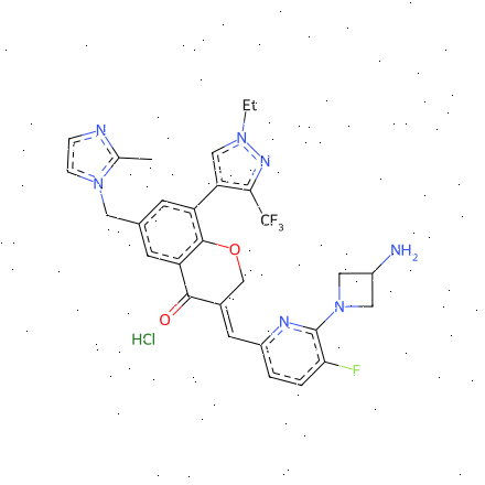 CCn1cc(-c2cc(Cn3ccnc3C)cc3c2OC/C(=C\c2ccc(F)c(N4CC(N)C4)n2)C3=O)c(C(F)(F)F)n1.Cl